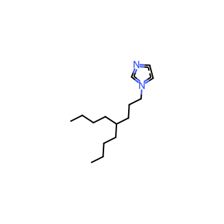 CCCCC(CCCC)CCCn1ccnc1